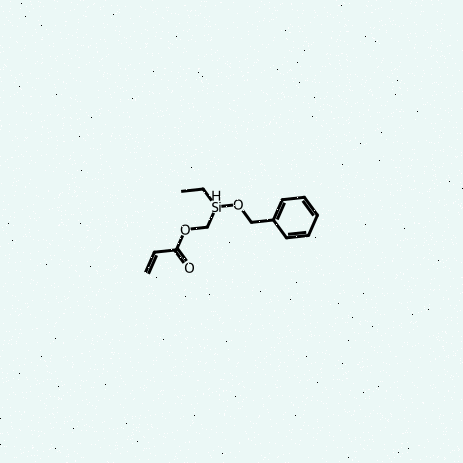 C=CC(=O)OC[SiH](CC)OCc1ccccc1